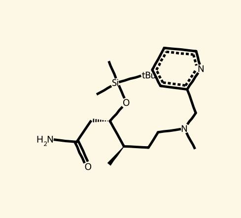 C[C@H](CCN(C)Cc1ccccn1)[C@H](CC(N)=O)O[Si](C)(C)C(C)(C)C